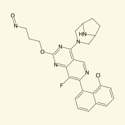 O=NCCCOc1nc(N2CC3CCC(C2)N3)c2cnc(-c3cccc4cccc(Cl)c34)c(F)c2n1